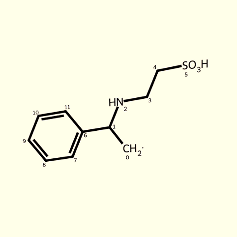 [CH2]C(NCCS(=O)(=O)O)c1ccccc1